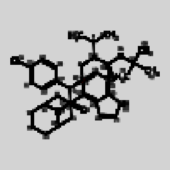 CC(C)N(CC[C@@H](C(=O)N1C2CCCC1CC(c1ncnc3[nH]ccc13)C2)c1ccc(Cl)cc1)C(=O)OC(C)(C)C